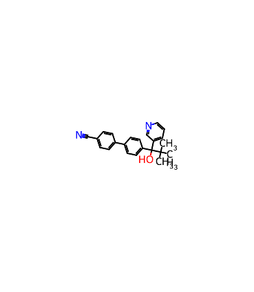 CC(C)(C)C(O)(c1ccc(-c2ccc(C#N)cc2)cc1)c1cccnc1